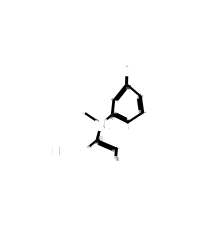 CC(=O)c1cccc(N(C)C(=CO)C(=O)O)c1